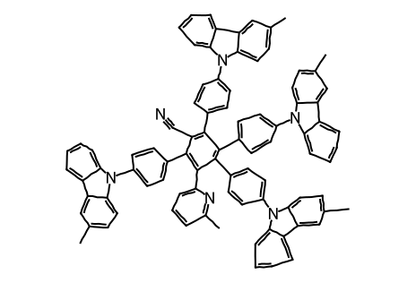 Cc1ccc2c(c1)c1ccccc1n2-c1ccc(-c2c(C#N)c(-c3ccc(-n4c5ccccc5c5cc(C)ccc54)cc3)c(-c3cccc(C)n3)c(-c3ccc(-n4c5ccccc5c5cc(C)ccc54)cc3)c2-c2ccc(-n3c4ccccc4c4cc(C)ccc43)cc2)cc1